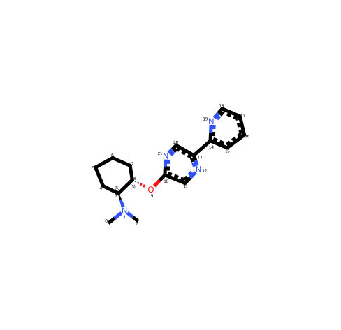 CN(C)[C@H]1CCCC[C@@H]1Oc1cnc(-c2ccccn2)cn1